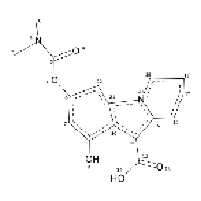 CN(C)C(=O)Oc1cc(O)c2c(C(=O)O)c3ccccn3c2c1